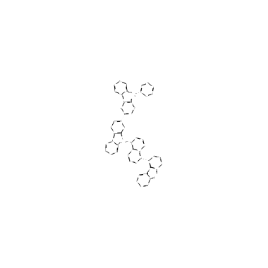 c1ccc(-n2c3ccccc3c3cc(-c4ccc5c6ccccc6n(-c6cccc7c(-c8cccc9oc%10ccccc%10c89)cccc67)c5c4)ccc32)cc1